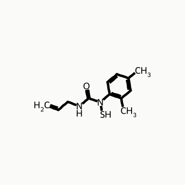 C=CCNC(=O)N(S)c1ccc(C)cc1C